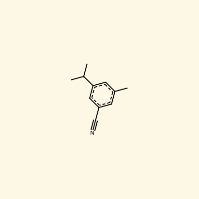 C[C](C)c1cc(C)cc(C#N)c1